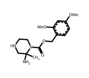 COc1ccc(COC(=O)N2CCNCC2(C)N)c(OC)c1